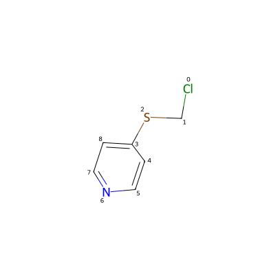 ClCSc1ccncc1